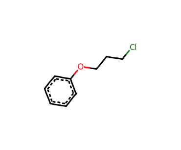 ClCCCOc1ccccc1